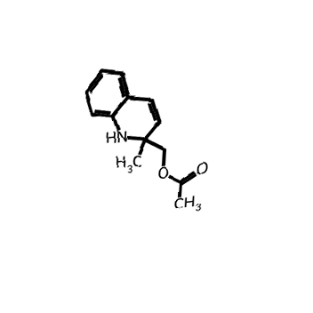 CC(=O)OCC1(C)C=Cc2ccccc2N1